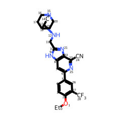 CCOc1ccc(-c2cc3[nH]c(CNC4CN5CCC4CC5)nc3c(C#N)n2)cc1C(F)(F)F